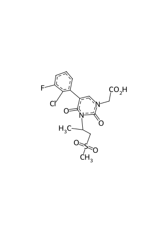 CC(CS(C)(=O)=O)n1c(=O)c(-c2cccc(F)c2Cl)cn(CC(=O)O)c1=O